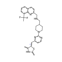 C=C1NC(=C)/C(=C/c2ccnc(N3CCC(CNCc4ccc5cccc(C(C)(F)F)c5n4)CC3)n2)S1